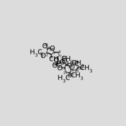 COC1=C(C)/C(=C\COP(=O)(OC)OC2CC(C)(C)C(C=C(C)C)=C(C)C2=O)OC1=O